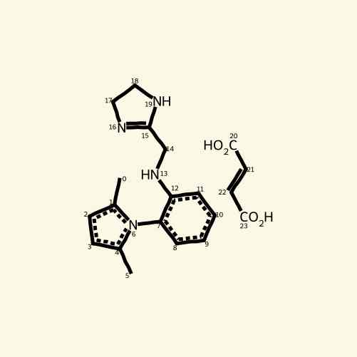 Cc1ccc(C)n1-c1ccccc1NCC1=NCCN1.O=C(O)/C=C/C(=O)O